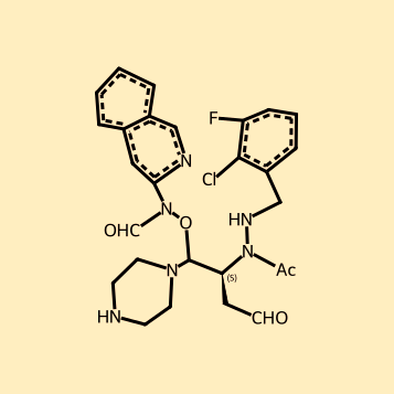 CC(=O)N(NCc1cccc(F)c1Cl)[C@@H](CC=O)C(ON(C=O)c1cc2ccccc2cn1)N1CCNCC1